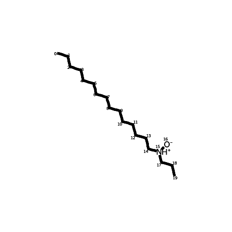 CCCCCCCCCCCCCCC[NH+]([O-])CCC